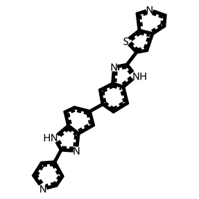 c1cc(-c2nc3cc(-c4ccc5[nH]c(-c6cc7ccncc7s6)nc5c4)ccc3[nH]2)ccn1